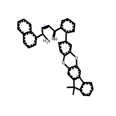 CC1(C)c2ccccc2-c2cc3c(cc21)Oc1ccc(-c2ccccc2C(=N)/C=C\C(N)c2cccc4ccccc24)cc1O3